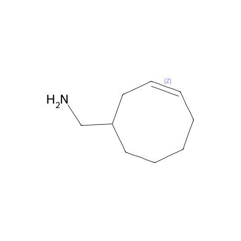 NCC1C/C=C\CCCC1